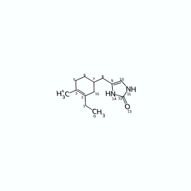 CCC1=C(C)CCC(Cc2c[nH]c(=O)[nH]2)C1